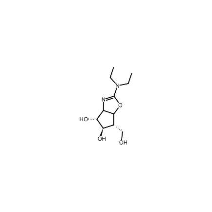 CCN(CC)C1=NC2C(O1)[C@H](CO)[C@@H](O)[C@@H]2O